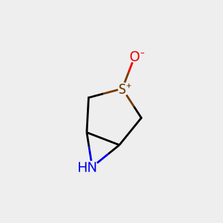 [O-][S+]1CC2NC2C1